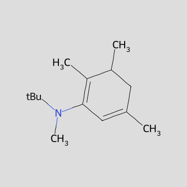 CC1=CC(N(C)C(C)(C)C)=C(C)C(C)C1